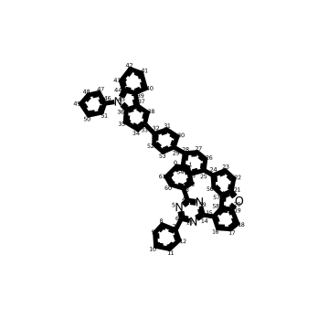 c1ccc(-c2nc(-c3ccccc3)nc(-c3cccc4oc5ccc(-c6ccc(-c7ccc(-c8ccc9c(c8)c8ccccc8n9-c8ccccc8)cc7)cc6)cc5c34)n2)cc1